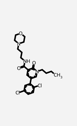 CCCCn1cc(-c2cc(Cl)ccc2Cl)cc(C(=O)NCCCN2CCOCC2)c1=O